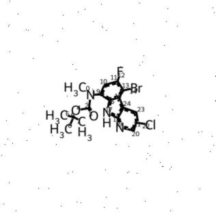 CN(C(=O)OC(C)(C)C)c1cc(F)c(Br)c2c1[nH]c1ncc(Cl)cc12